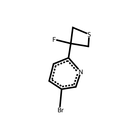 FC1(c2ccc(Br)cn2)CSC1